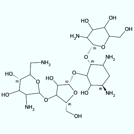 NCC1OC(OC2C(O)[C@H](OC3C(O)[C@H](N)CC(N)[C@H]3O[C@H]3OC(CO)C(O)C(O)C3N)O[C@@H]2CO)C(N)C(O)[C@@H]1O